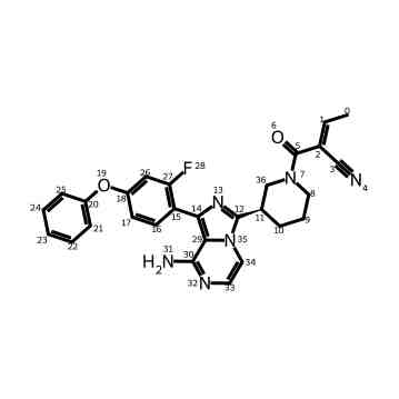 C/C=C(\C#N)C(=O)N1CCC[C@@H](c2nc(-c3ccc(Oc4ccccc4)cc3F)c3c(N)nccn23)C1